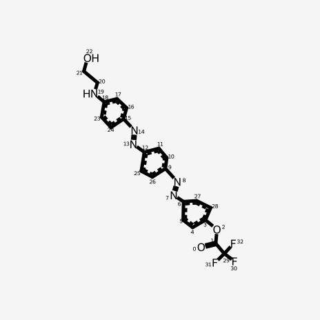 O=C(Oc1ccc(N=Nc2ccc(N=Nc3ccc(NCCO)cc3)cc2)cc1)C(F)(F)F